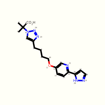 CC(C)(C(=O)O)n1cc(CCCCOc2ccc(-c3ccn[nH]3)nc2)nn1